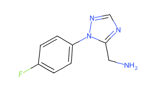 NCc1ncnn1-c1ccc(F)cc1